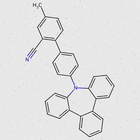 Cc1ccc(-c2ccc(N3c4ccccc4-c4ccccc4-c4ccccc43)cc2)c(C#N)c1